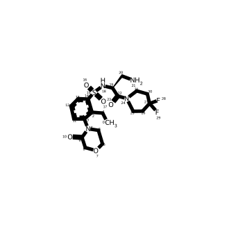 CCc1c(N2CCOCC2=O)cccc1S(=O)(=O)N[C@@H](CN)C(=O)N1CCC(F)(F)CC1